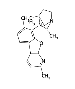 Cc1ccc2c(n1)oc1c(N3[C@@H](C)N4CCC3(C)C4)c(C)ccc12